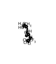 CC1(C)OB(O)c2cc(CCNC(=O)c3ccc(C4=NOC(c5cc(Cl)c(Cl)c(Cl)c5)(C(F)(F)F)C4)c4cccn34)ccc21